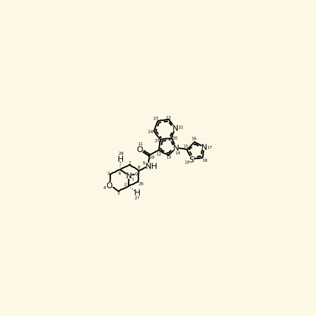 CN1[C@@H]2COC[C@H]1CC(NC(=O)c1cn(-c3cncs3)c3ncccc13)C2